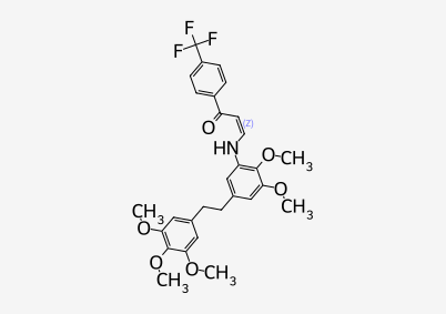 COc1cc(CCc2cc(OC)c(OC)c(OC)c2)cc(N/C=C\C(=O)c2ccc(C(F)(F)F)cc2)c1OC